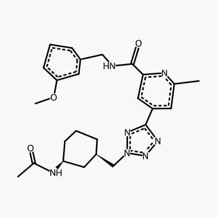 COc1cccc(CNC(=O)c2cc(-c3nnn(C[C@@H]4CCC[C@H](NC(C)=O)C4)n3)cc(C)n2)c1